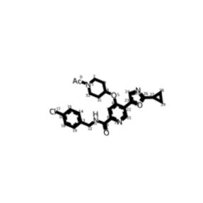 CC(=O)N1CCC(Oc2cc(C(=O)NCc3ccc(Cl)cc3)ncc2-c2cnc(C3CC3)o2)CC1